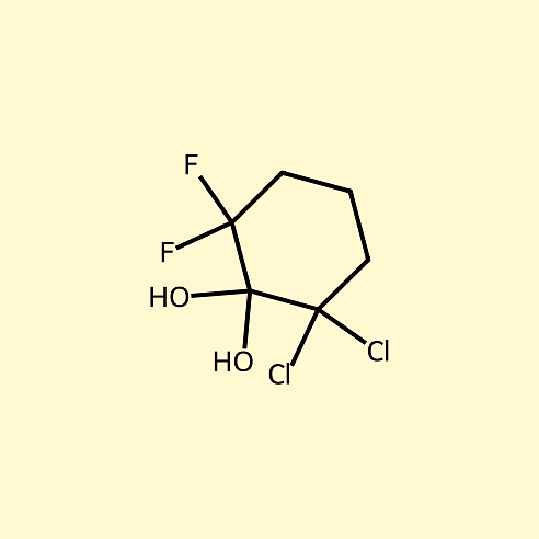 OC1(O)C(F)(F)CCCC1(Cl)Cl